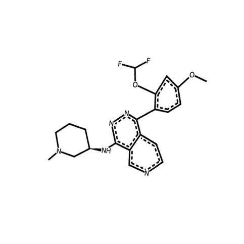 COc1ccc(-c2nnc(N[C@@H]3CCCN(C)C3)c3cnccc23)c(OC(F)F)c1